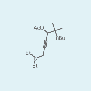 CCCCC(C)(C)C(C#CCN(CC)CC)OC(C)=O